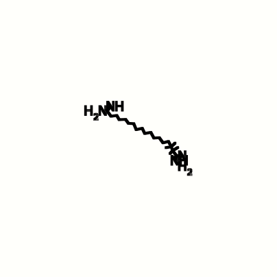 CC(C)(CCCCCCCCCCCCCCC(=N)N)C(C)(C)C(=N)N